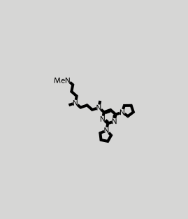 CNCCCN(C)CCCN(C)c1cc(N2CCCC2)nc(N2CCCC2)n1